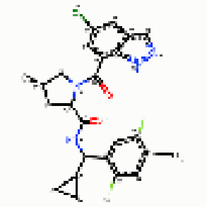 CC[C@@H]1C[C@H](C(=O)NC(c2cc(F)c(C(F)(F)F)cc2F)C2CC2)N(C(=O)c2cc(Cl)cc3cn[nH]c23)C1